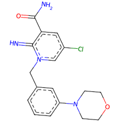 N=c1c(C(N)=O)cc(Cl)cn1Cc1cccc(N2CCOCC2)c1